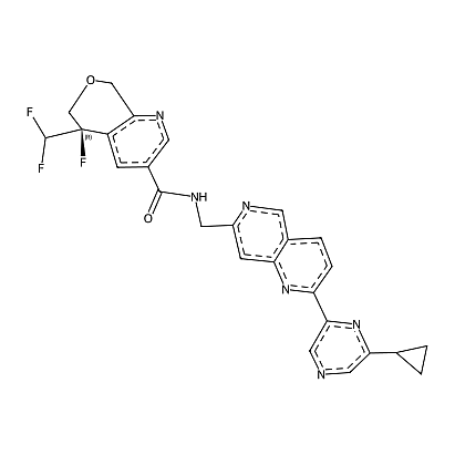 O=C(NCc1cc2nc(-c3cncc(C4CC4)n3)ccc2cn1)c1cnc2c(c1)[C@](F)(C(F)F)COC2